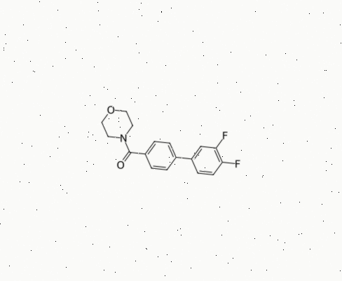 O=C(c1ccc(-c2ccc(F)c(F)c2)cc1)N1CCOCC1